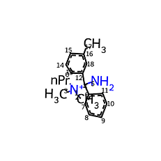 CCC[N+](C)(C)C(N)(c1ccccc1)c1cccc(C)c1